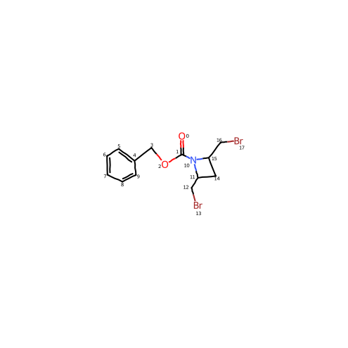 O=C(OCc1ccccc1)N1C(CBr)CC1CBr